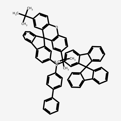 CC(C)(C)c1ccc2c(c1)C1(c3cc(C(C)(C)C)ccc3O2)c2ccccc2-c2ccc(N(c3ccc(-c4ccccc4)cc3)c3ccc4c(c3)C3(c5ccccc5-c5ccccc53)c3ccccc3-4)cc21